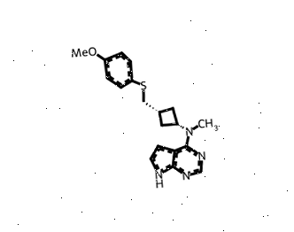 COc1ccc(SC[C@H]2C[C@@H](N(C)c3ncnc4[nH]ccc34)C2)cc1